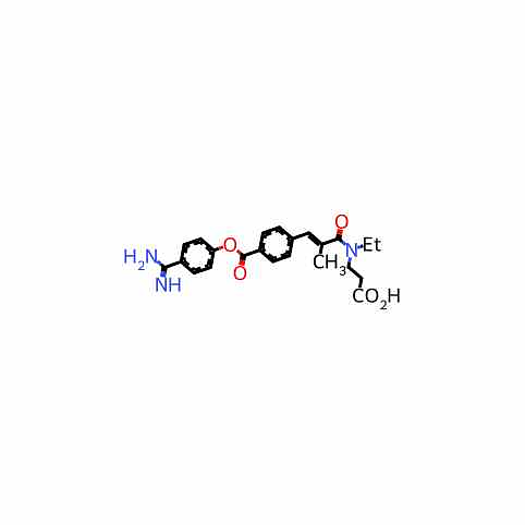 CCN(CCC(=O)O)C(=O)/C(C)=C/c1ccc(C(=O)Oc2ccc(C(=N)N)cc2)cc1